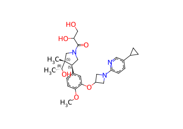 COc1ccc([C@@H]2CN(C(=O)C(O)CO)C[C@@]2(C)[C@@H](C)O)cc1OC1CN(c2ccc(C3CC3)cn2)C1